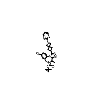 CC1c2nnc(C3CC4(C3)CN(c3ncccn3)C4)n2-c2ccc(Cl)cc2CN1C(=O)OC1(C)CC1